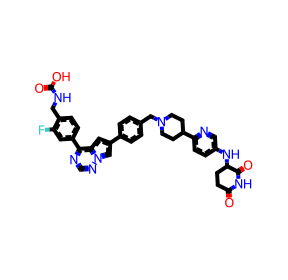 O=C(O)NCc1ccc(-c2ncnn3cc(-c4ccc(CN5CCC(c6ccc(NC7CCC(=O)NC7=O)cn6)CC5)cc4)cc23)cc1F